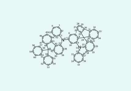 c1ccc(N(c2ccc3c(c2)-n2c4ccccc4c4cccc(c42)C32c3ccccc3-c3ccccc32)c2cccc3c2-c2ccccc2C3(c2ccccc2)c2ccccc2)cc1